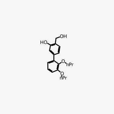 CCCOc1cccc(-c2ccc(CO)c(O)c2)c1OCCC